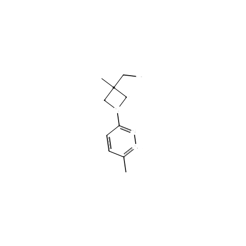 Cc1ccc(N2CC(C)(CO)C2)nn1